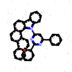 c1ccc(-c2cc(-n3c4ccccc4c4ccc5ccc6c7ccccc7ccc6c5c43)nc(-c3ccccc3)n2)cc1